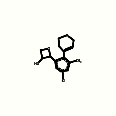 Cc1cc(Cl)cc(C2OCC2O)c1C1=CCOCC1